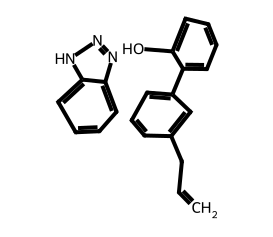 C=CCc1cccc(-c2ccccc2O)c1.c1ccc2[nH]nnc2c1